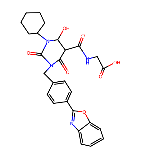 O=C(O)CNC(=O)C1C(=O)N(Cc2ccc(-c3nc4ccccc4o3)cc2)C(=O)N(C2CCCCC2)C1O